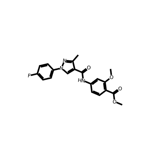 COC(=O)c1ccc(NC(=O)c2cn(-c3ccc(F)cc3)nc2C)cc1OC